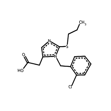 CCCSc1ncc(CC(=O)O)n1Cc1ccccc1Cl